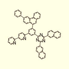 c1ccc(-c2ccc3c(-c4cc(-c5ccc(-c6ccccn6)cn5)cc(-c5nc(-c6ccc7ccccc7c6)nc(-c6ccc7ccccc7c6)n5)c4)cc4ccccc4c3c2)cc1